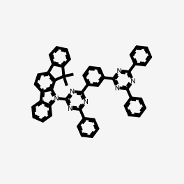 CC1(C)c2ccccc2-c2ccc3c4ccccc4n(-c4nc(-c5ccccc5)nc(-c5cccc(-c6nc(-c7ccccc7)nc(-c7ccccc7)n6)c5)n4)c3c21